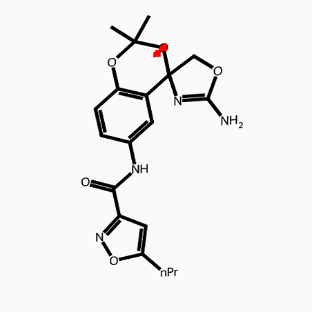 CCCc1cc(C(=O)Nc2ccc3c(c2)C2(COC(N)=N2)C2(COC2)C(C)(C)O3)no1